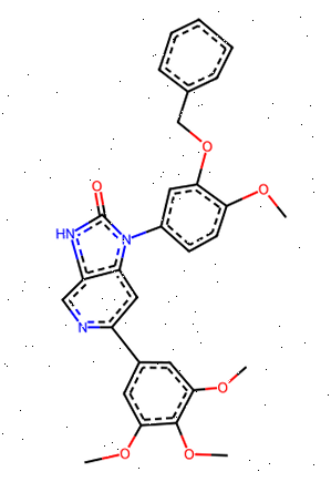 COc1ccc(-n2c(=O)[nH]c3cnc(-c4cc(OC)c(OC)c(OC)c4)cc32)cc1OCc1ccccc1